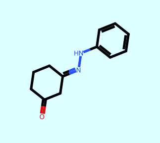 O=C1CCC/C(=N\Nc2ccccc2)C1